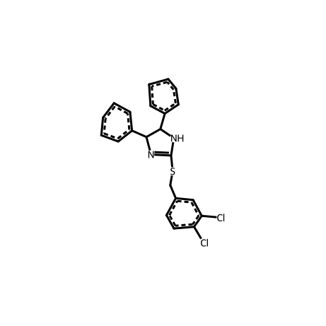 Clc1ccc(CSC2=NC(c3ccccc3)C(c3ccccc3)N2)cc1Cl